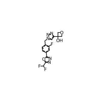 OC1(c2cn(Cc3ccc(-c4nnc(C(F)F)o4)cc3F)nn2)COC1